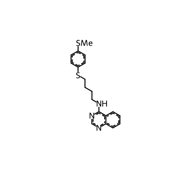 CSc1ccc(SCCCCNc2ncnc3ccccc23)cc1